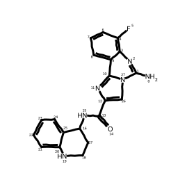 Nc1nc2c(F)cccc2c2nc(C(=O)NC3CCNc4ccccc43)cn12